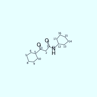 O=C(CC(=O)C1CCCCC1)NC1CCCCC1